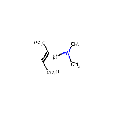 CCN(C)C.O=C(O)C=CC(=O)O